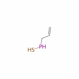 C=CCPS